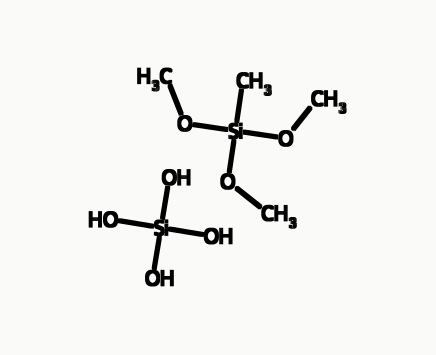 CO[Si](C)(OC)OC.O[Si](O)(O)O